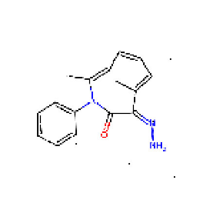 C/C1=C\C=C/C=C(\C)N(c2ccccc2)C(=O)\C1=N/N